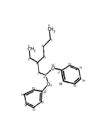 CCCCC(CC)CP(Oc1ccccc1)Oc1ccccc1